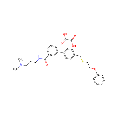 CN(C)CCCNC(=O)c1cccc(-c2ccc(CSCCOc3ccccc3)cc2)c1.O=C(O)C(=O)O